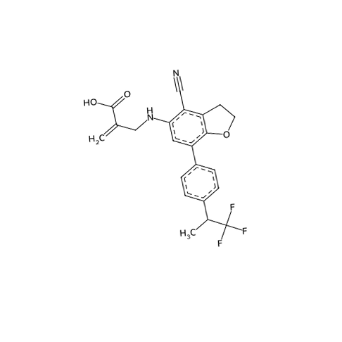 C=C(CNc1cc(-c2ccc(C(C)C(F)(F)F)cc2)c2c(c1C#N)CCO2)C(=O)O